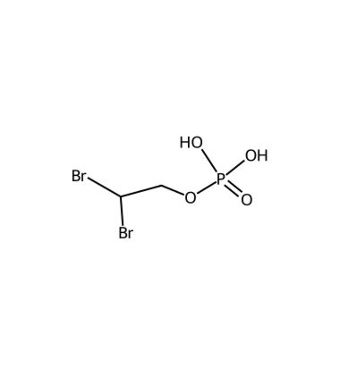 O=P(O)(O)OCC(Br)Br